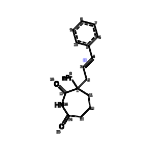 CCCC1(C/C=C/c2ccccc2)CCCC(=O)NC1=O